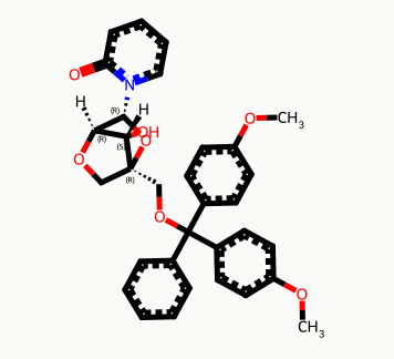 COc1ccc(C(OC[C@@]23CO[C@@H]([C@H](n4ccccc4=O)O2)[C@@H]3O)(c2ccccc2)c2ccc(OC)cc2)cc1